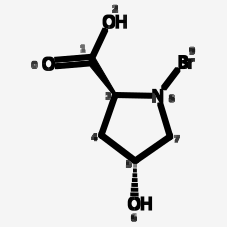 O=C(O)[C@@H]1C[C@@H](O)CN1Br